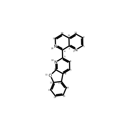 c1cnc2c(-c3ccc4c(n3)oc3ccccc34)nccc2c1